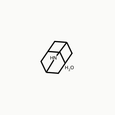 C1C2CC3CC1CC(C2)N3.O